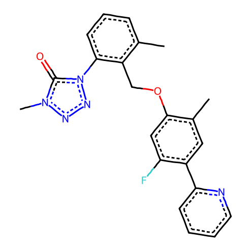 Cc1cc(-c2ccccn2)c(F)cc1OCc1c(C)cccc1-n1nnn(C)c1=O